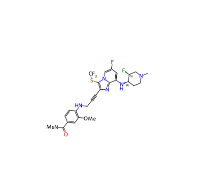 CNC(=O)c1ccc(NCC#Cc2nc3c(N[C@@H]4CCN(C)C[C@@H]4F)cc(F)cn3c2SC(F)(F)F)c(OC)c1